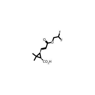 CC1(C)[C@H](C(=O)O)[C@@H]1C=CC(=O)OCC(F)F